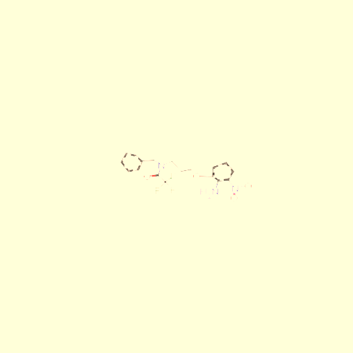 Nc1c(OCCCN(Cc2ccccc2)C(=O)C(F)(F)F)cccc1[N+](=O)[O-]